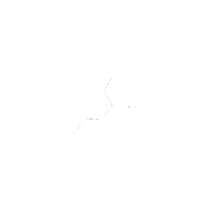 CCSS[C@H](CC(Cl)(Cl)Cl)C(C)CC